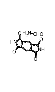 NC=O.O=c1[nH]c(=O)c2cc3c(=O)[nH]c(=O)c3cc12